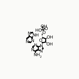 Nc1ncnc2c1ncn2[C@@H]1O[C@H](COP(=O)(O)O)[C@@H](O)[C@H]1O.c1ncc2nc[nH]c2n1